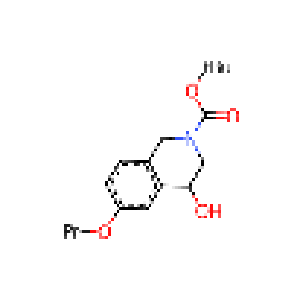 CC(C)Oc1ccc2c(c1)C(O)CN(C(=O)OC(C)(C)C)C2